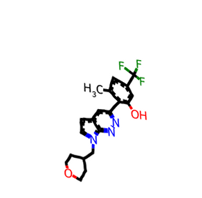 Cc1cc(C(F)(F)F)cc(O)c1-c1cc2ccn(CC3CCOCC3)c2nn1